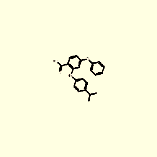 CC(C)c1ccc(Nc2cc(Oc3ccccc3)ccc2C(=O)O)cc1